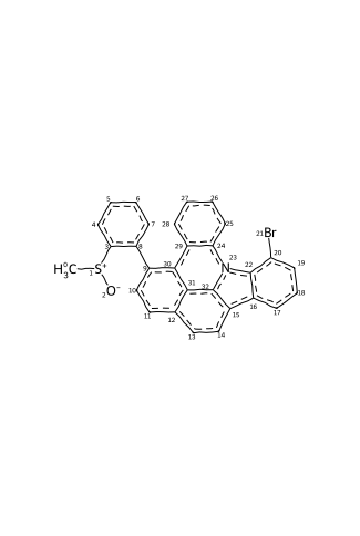 C[S+]([O-])c1ccccc1-c1ccc2ccc3c4cccc(Br)c4n4c5ccccc5c1c2c34